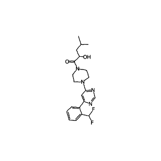 CC(C)CC(O)C(=O)N1CCN(c2cc(-c3ccccc3C(F)F)ncn2)CC1